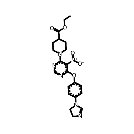 CCOC(=O)C1CCN(c2ncnc(Oc3ccc(N4C=NCC4)cc3)c2[N+](=O)[O-])CC1